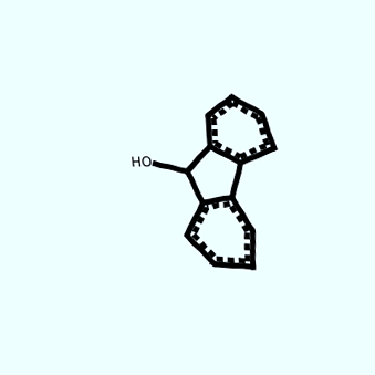 OC1c2c[c]ccc2-c2ccccc21